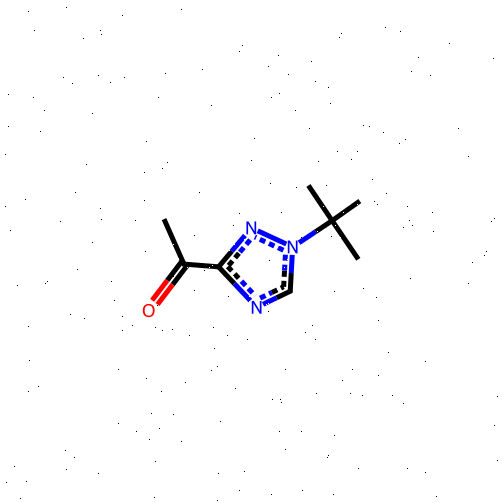 CC(=O)c1ncn(C(C)(C)C)n1